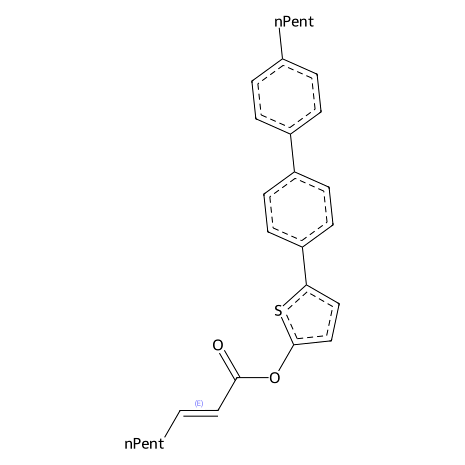 CCCCC/C=C/C(=O)Oc1ccc(-c2ccc(-c3ccc(CCCCC)cc3)cc2)s1